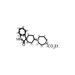 CCOC(=O)N1CCCN(C2CCC3(CC2)C(=O)Nc2ccccc23)CC1